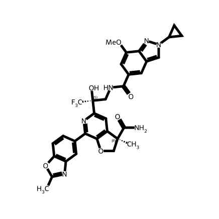 COc1cc(C(=O)NC[C@](O)(c2cc3c(c(-c4ccc5oc(C)nc5c4)n2)OC[C@]3(C)C(N)=O)C(F)(F)F)cc2cn(C3CC3)nc12